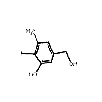 Cc1cc(CO)cc(O)c1I